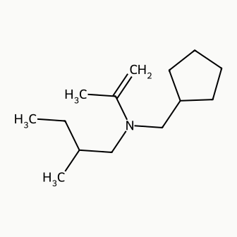 C=C(C)N(CC(C)CC)CC1CCCC1